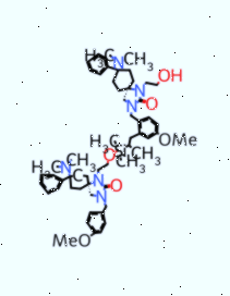 COc1ccc(CN2C[C@]3(CC[C@](c4ccccc4)(N(C)C)CC3)N(CCO[Si](C)(C)C(C)Cc3cc(OC)ccc3CN3C[C@]4(CC[C@](c5ccccc5)(N(C)C)CC4)N(CCO)C3=O)C2=O)cc1